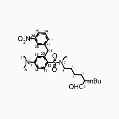 CCCCC(C=O)CCCCN(C)S(=O)(=O)c1ccc(N(C)C)cc1Cc1cccc([N+](=O)[O-])c1